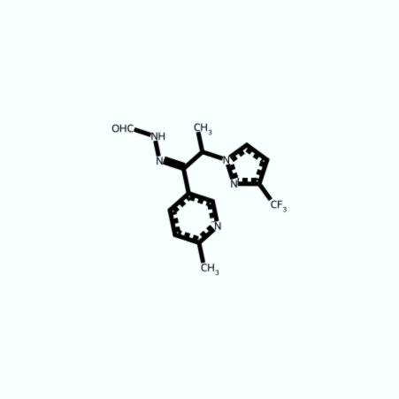 Cc1ccc(C(=NNC=O)C(C)n2ccc(C(F)(F)F)n2)cn1